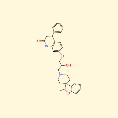 CC(=O)C1(c2ccccc2)CCN(CC(O)COc2ccc3c(c2)NC(=O)CC3c2ccccc2)CC1